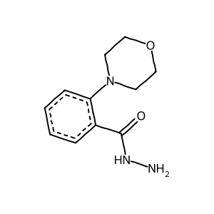 NNC(=O)c1ccccc1N1CCOCC1